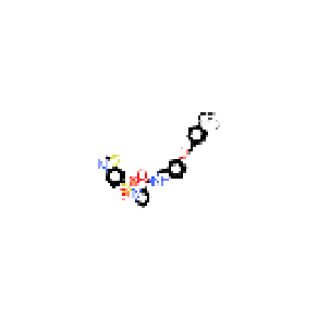 O=C(NCc1cccc(OCc2ccc(C(F)(F)F)cc2)c1)[C@@H]1CCCN1S(=O)(=O)c1ccc2ncsc2c1